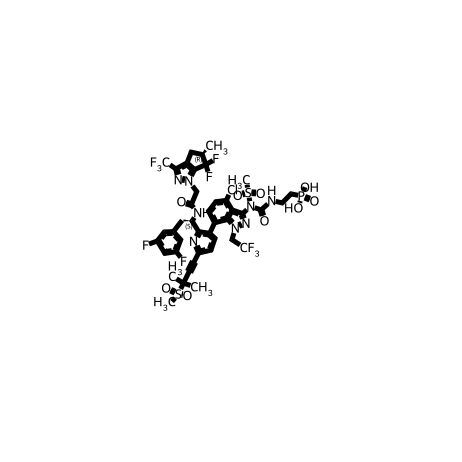 C[C@@H]1Cc2c(C(F)(F)F)nn(CC(=O)N[C@@H](Cc3cc(F)cc(F)c3)c3nc(C#CC(C)(C)S(C)(=O)=O)ccc3-c3ccc(Cl)c4c(N(C(=O)NCCP(=O)(O)O)S(C)(=O)=O)nn(CC(F)(F)F)c34)c2C1(F)F